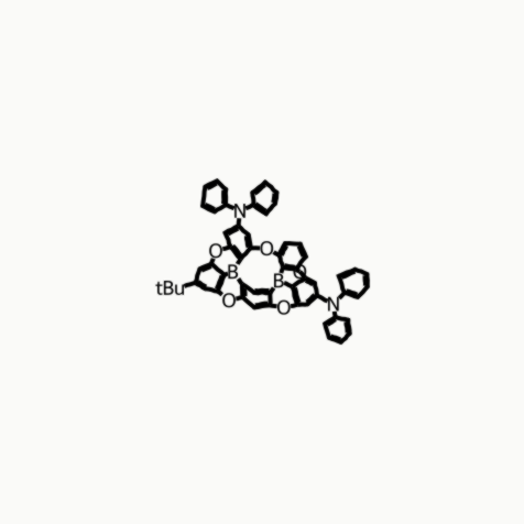 CC(C)(C)c1cc2c3c(c1)Oc1cc(N(c4ccccc4)c4ccccc4)cc4c1B3c1cc3c(cc1O2)Oc1cc(N(c2ccccc2)c2ccccc2)cc2c1B3c1c(cccc1O4)O2